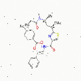 CC[C@H](C)CC(=O)N(C)[C@H](C[C@@H](OC(C)=O)c1nc(C(=O)N[C@H](C)[C@@H](OC(=O)C2=CC=C(C(C)=O)CC2)c2ccccc2)cs1)C(C)C